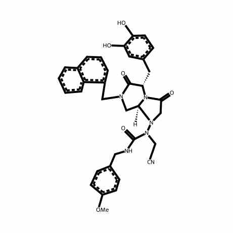 COc1ccc(CNC(=O)N(CC#N)N2CC(=O)N3[C@@H](Cc4ccc(O)c(O)c4)C(=O)N(Cc4cccc5ccccc45)C[C@@H]32)cc1